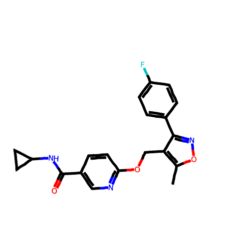 Cc1onc(-c2ccc(F)cc2)c1COc1ccc(C(=O)NC2CC2)cn1